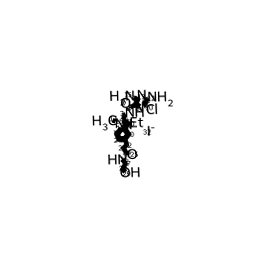 CCn1c(CNC(=O)c2nc(Cl)c(N)nc2N)[n+](C)c2ccc(CCC(=O)NCCO)cc21.[I-]